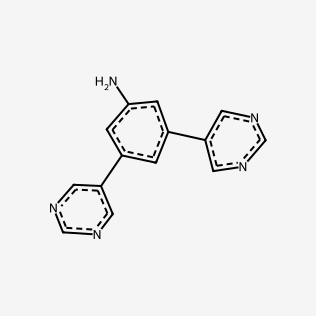 Nc1cc(-c2cncnc2)cc(-c2cncnc2)c1